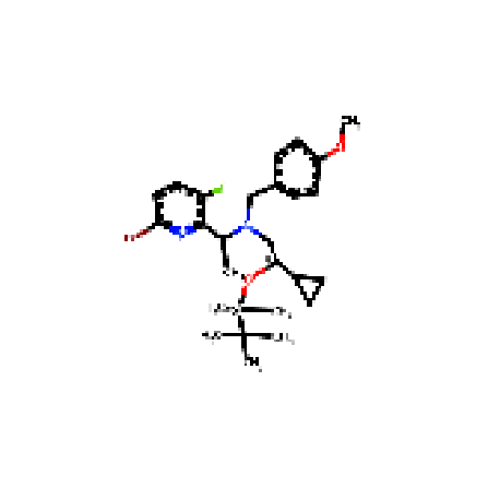 COc1ccc(CN(C[C@H](O[Si](C)(C)C(C)(C)C)C2CC2)C(C)c2nc(Br)ccc2F)cc1